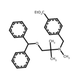 CCOC(=O)c1ccc(CN(C)C(C)(C)COC(c2ccccc2)c2ccccc2)cc1